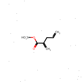 C=CCC(=C)C(=O)OS(=O)(=O)O